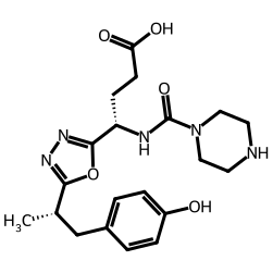 C[C@@H](Cc1ccc(O)cc1)c1nnc([C@H](CCC(=O)O)NC(=O)N2CCNCC2)o1